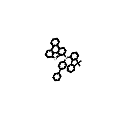 CC1(C)c2ccccc2-c2c(N(c3ccc(-c4ccccc4)cc3)c3ccc4c5ccccc5c5cccc6oc3c4c65)cccc21